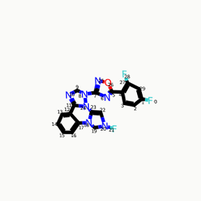 Fc1ccc(-c2nc(N3CN=C4c5ccccc5N5CN(F)C=C5N43)no2)c(F)c1